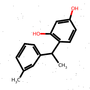 Cc1cccc(C(C)c2ccc(O)cc2O)c1